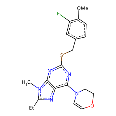 CCc1nc2c(N3C=COCC3)nc(SCc3ccc(OC)c(F)c3)nc2n1C